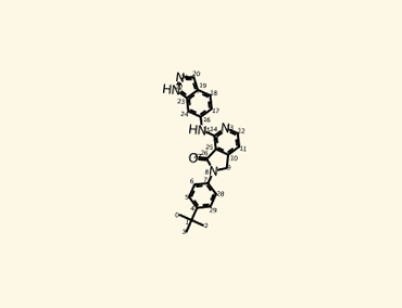 CC(C)(C)c1ccc(N2Cc3ccnc(Nc4ccc5cn[nH]c5c4)c3C2=O)cc1